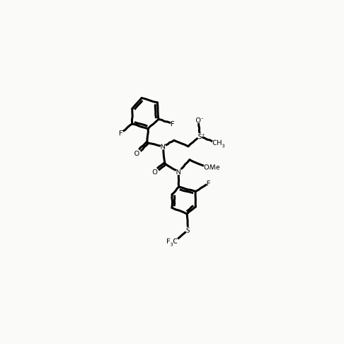 COCN(C(=O)N(CC[S+](C)[O-])C(=O)c1c(F)cccc1F)c1ccc(SC(F)(F)F)cc1F